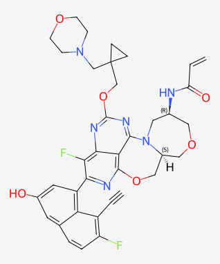 C#Cc1c(F)ccc2cc(O)cc(-c3nc4c5c(nc(OCC6(CN7CCOCC7)CC6)nc5c3F)N3C[C@@H](NC(=O)C=C)COC[C@H]3CO4)c12